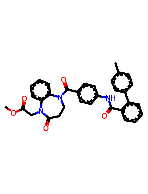 COC(=O)CN1C(=O)CCN(C(=O)c2ccc(NC(=O)c3ccccc3-c3ccc(C)cc3)cc2)c2ccccc21